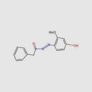 COc1cc(O)ccc1N=NC(=O)Cc1ccccc1